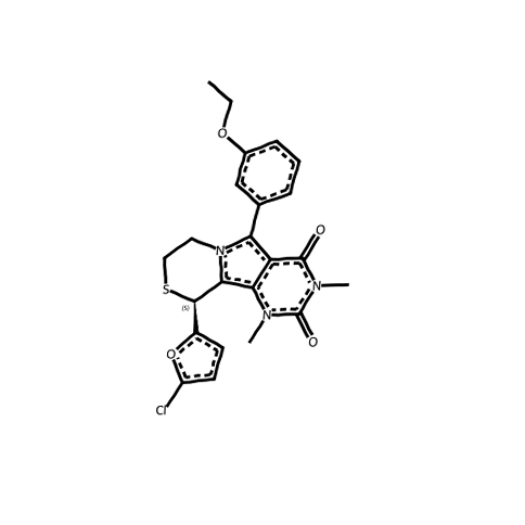 CCOc1cccc(-c2c3c(=O)n(C)c(=O)n(C)c3c3n2CCS[C@@H]3c2ccc(Cl)o2)c1